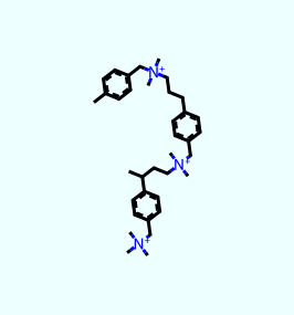 Cc1ccc(C[N+](C)(C)CCCc2ccc(C[N+](C)(C)CCC(C)c3ccc(C[N+](C)(C)C)cc3)cc2)cc1